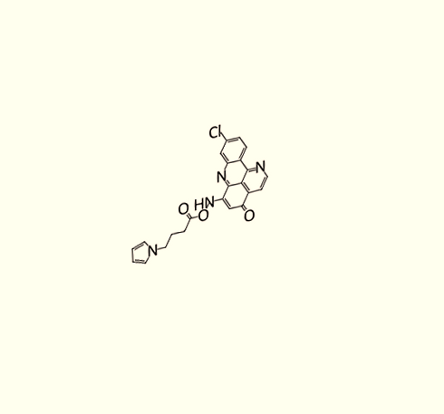 O=C(CCCn1cccc1)ONC1=CC(=O)c2ccnc3c2c1nc1cc(Cl)ccc13